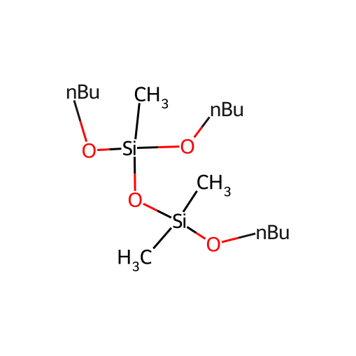 CCCCO[Si](C)(C)O[Si](C)(OCCCC)OCCCC